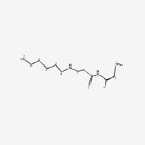 CCCCCCCCCCC(C)NC(=O)CCNCCCCCO